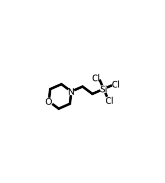 Cl[Si](Cl)(Cl)CCN1CCOCC1